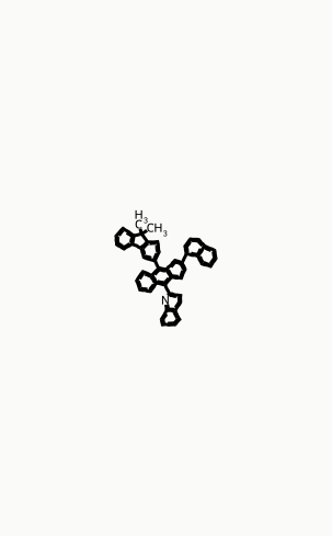 CC1(C)c2ccccc2-c2cc(-c3c4ccccc4c(-c4ccc5ccccc5n4)c4ccc(-c5cccc6ccccc56)cc34)ccc21